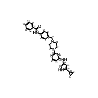 O=C(Nc1ccc(CN2CCN(c3nccc(Nc4cc(C5CC5)[nH]n4)n3)CC2)cc1)c1ccccc1